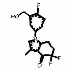 Cc1cn(-c2ccc(F)c(CO)c2)c2c1C(=O)C(F)(F)CC2